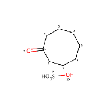 O=C1CCCCCCC1.O=S(=O)(O)O